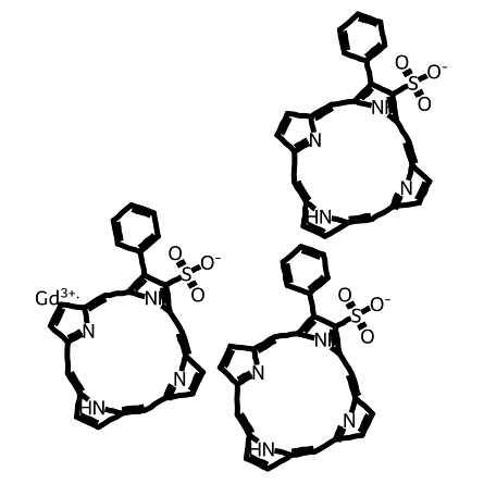 O=S(=O)([O-])c1c(-c2ccccc2)c2cc3nc(cc4ccc(cc5nc(cc1[nH]2)C=C5)[nH]4)C=C3.O=S(=O)([O-])c1c(-c2ccccc2)c2cc3nc(cc4ccc(cc5nc(cc1[nH]2)C=C5)[nH]4)C=C3.O=S(=O)([O-])c1c(-c2ccccc2)c2cc3nc(cc4ccc(cc5nc(cc1[nH]2)C=C5)[nH]4)C=C3.[Gd+3]